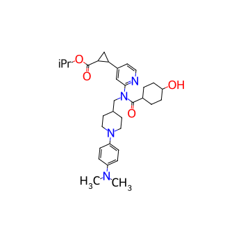 CC(C)OC(=O)C1CC1c1ccnc(N(CC2CCN(c3ccc(N(C)C)cc3)CC2)C(=O)C2CCC(O)CC2)c1